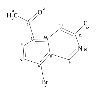 CC(=O)c1ccc(Br)c2cnc(Cl)cc12